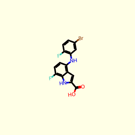 O=C(O)c1cc2c(Nc3cc(Br)ccc3F)ccc(F)c2[nH]1